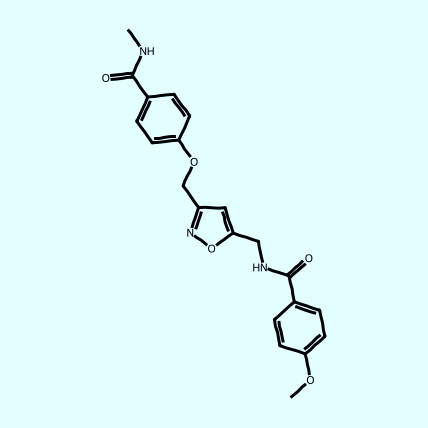 CNC(=O)c1ccc(OCc2cc(CNC(=O)c3ccc(OC)cc3)on2)cc1